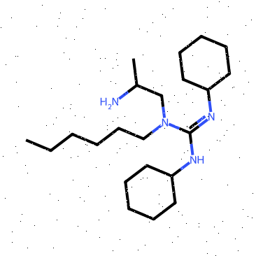 CCCCCCN(CC(C)N)C(=NC1CCCCC1)NC1CCCCC1